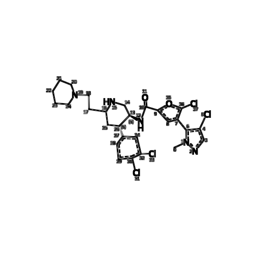 Cn1ncc(Cl)c1-c1cc(C(=O)N[C@@H]2CNC(CCN3CCCCC3)C[C@H]2c2ccc(Cl)c(Cl)c2)oc1Cl